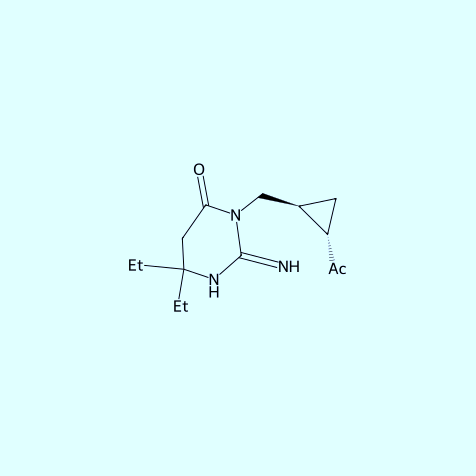 CCC1(CC)CC(=O)N(C[C@H]2C[C@@H]2C(C)=O)C(=N)N1